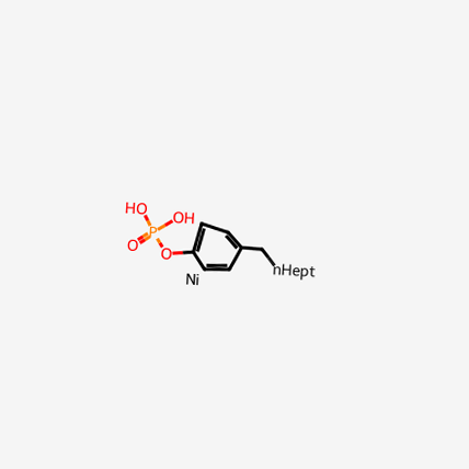 CCCCCCCCc1ccc(OP(=O)(O)O)cc1.[Ni]